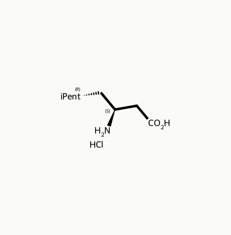 CCC[C@@H](C)C[C@H](N)CC(=O)O.Cl